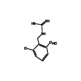 Cl.N=C(S)NCc1c(Cl)cccc1Cl